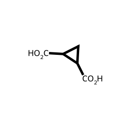 O=C(O)C1CC1C(=O)O